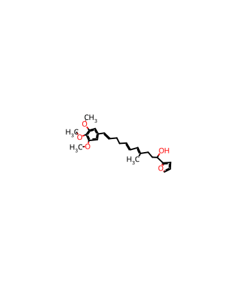 COc1cc(/C=C/CC/C=C/C=C(\C)CCC(O)c2ccco2)cc(OC)c1OC